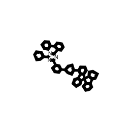 c1ccc(-c2nc(-c3cccc(-c4ccc(-c5cccc6c5-c5ccccc5C65c6ccccc6-c6ccccc65)cc4)c3)nc(-c3ccccc3-c3ccccc3)n2)cc1